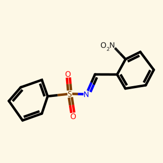 O=[N+]([O-])c1ccccc1C=NS(=O)(=O)c1ccccc1